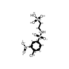 O=[N+]([O-])c1cc(S(=O)(=O)NCCS(=O)(=O)O)ccc1Cl